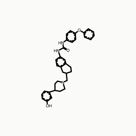 O=C(Nc1ccc(Oc2ccccc2)cc1)Nc1ccc2c(c1)CCC(CN1CCC(c3cccc(O)c3)CC1)C2